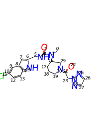 CN(C(=O)NCc1cc2cc(Cl)ccc2[nH]1)[C@@H]1CCCN(C(=O)Cn2nccn2)C1